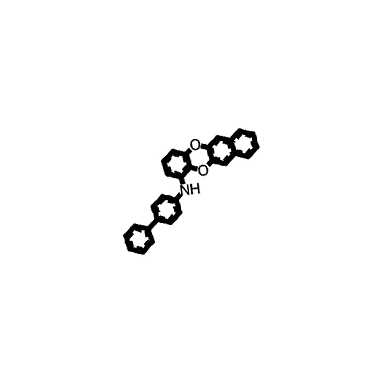 c1ccc(-c2ccc(Nc3cccc4c3Oc3cc5ccccc5cc3O4)cc2)cc1